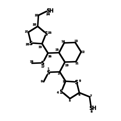 CSC(C1SCC(CS)S1)C1CCCCC1C(SC)C1SCC(CS)S1